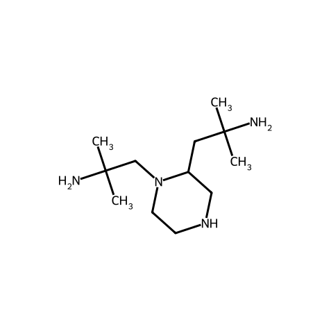 CC(C)(N)CC1CNCCN1CC(C)(C)N